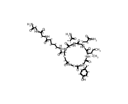 CC[C@H](C)[C@@H]1NC(=O)[C@H](Cc2ccc(O)cc2)NC(=O)CNC(=O)CC[C@@H](C(=O)NCCCCC(=O)NCC(=O)NCC(N)=O)NC(=O)[C@H](CC(N)=O)NC(=O)[C@H](CCC(N)=O)NC1=O